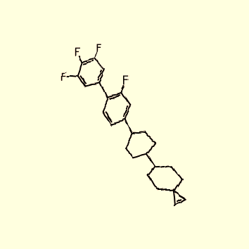 Fc1cc(C2CCC(C3CCC4(C=C4)CC3)CC2)ccc1-c1cc(F)c(F)c(F)c1